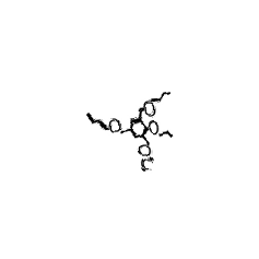 C=C=COCc1cc(COC=CC=C)cc(COC=CCC)c1OCCC